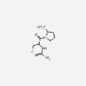 NC(=O)NC(CO)C(=O)N1CCCC1C(=O)O